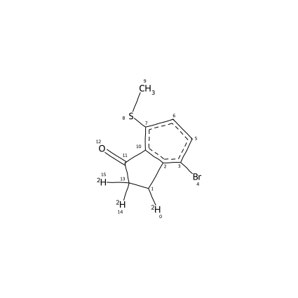 [2H]C1c2c(Br)ccc(SC)c2C(=O)C1([2H])[2H]